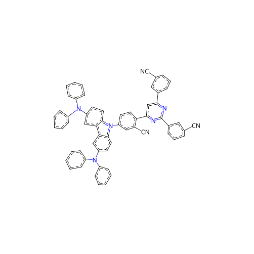 N#Cc1cccc(-c2cc(-c3ccc(-n4c5ccc(N(c6ccccc6)c6ccccc6)cc5c5cc(N(c6ccccc6)c6ccccc6)ccc54)cc3C#N)nc(-c3cccc(C#N)c3)n2)c1